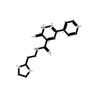 O=C(NCCC1OCCO1)c1cc(-c2ccncc2)n[nH]c1=O